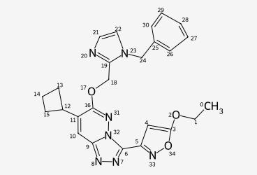 CCOc1cc(-c2nnc3cc(C4CCC4)c(OCc4nccn4Cc4ccccc4)nn23)no1